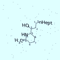 CCCCCCCCCC(O)C1CCCC(C)N1